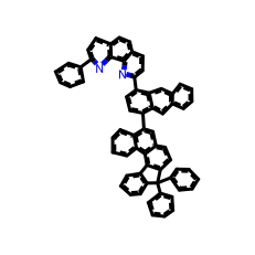 c1ccc(-c2ccc3ccc4ccc(-c5ccc(-c6cc7ccc8c(c7c7ccccc67)-c6ccccc6C8(c6ccccc6)c6ccccc6)c6cc7ccccc7cc56)nc4c3n2)cc1